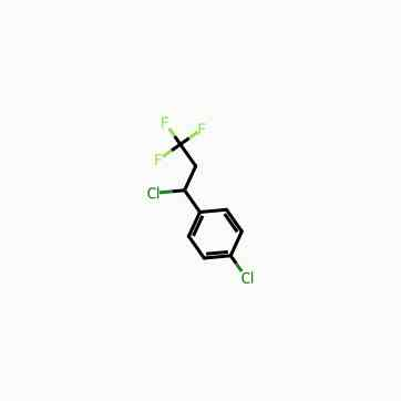 FC(F)(F)CC(Cl)c1ccc(Cl)cc1